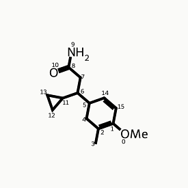 COC1=C(C)CC(C(CC(N)=O)C2CC2)C=C1